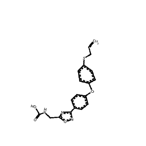 C=CCSc1ccc(Oc2ccc(-c3noc(CNC(=O)O)n3)cc2)cc1